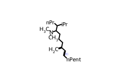 C=C(/C=C/CCCCC)CCCC(C(CCC)C(C)C)N(C)C